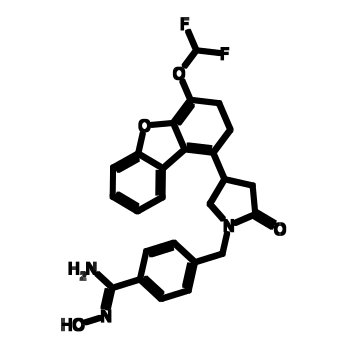 N/C(=N\O)c1ccc(CN2CC(C3=c4c(oc5ccccc45)=C(OC(F)F)CC3)CC2=O)cc1